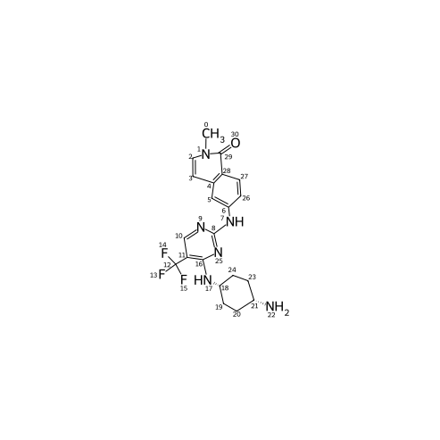 Cn1ccc2cc(Nc3ncc(C(F)(F)F)c(N[C@H]4CC[C@@H](N)CC4)n3)ccc2c1=O